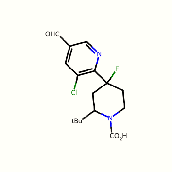 CC(C)(C)C1CC(F)(c2ncc(C=O)cc2Cl)CCN1C(=O)O